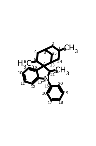 CC1CC2CC(C)C3(c4ccccc4N(c4ccccc4)C3C)C(C1)C2